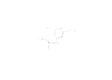 CC(=NN)Nc1cccc(C(=O)O)c1.Cl